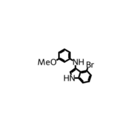 COc1cccc(Nc2c[nH]c3cccc(Br)c23)c1